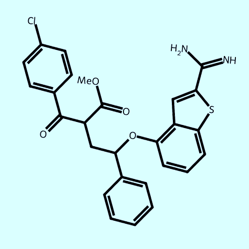 COC(=O)C(CC(Oc1cccc2sc(C(=N)N)cc12)c1ccccc1)C(=O)c1ccc(Cl)cc1